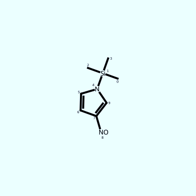 C[Si](C)(C)n1ccc(N=O)c1